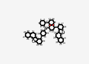 c1ccc(-c2ccccc2N(c2ccc(-c3cccc4oc5c6ccccc6ccc5c34)cc2)c2ccc(-c3cccc4oc5c6ccccc6ccc5c34)cc2)cc1